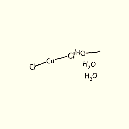 CO.O.O.[Cl][Cu][Cl]